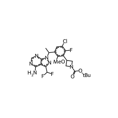 COc1c(C(C)n2nc(C(F)F)c3c(N)ncnc32)cc(Cl)c(F)c1C1CN(C(=O)OC(C)(C)C)C1